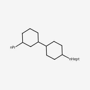 CCCCCCCC1CCC(C2CCCC(CCC)C2)CC1